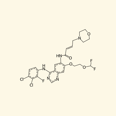 O=C(/C=C/CN1CCOCC1)Nc1cc2c(Nc3ccc(Cl)c(Cl)c3F)ncnc2cc1OCCOC(F)F